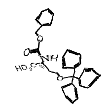 O=C(N[C@@H](CCOC(c1ccccc1)(c1ccccc1)c1ccccc1)C(=O)O)OCc1ccccc1